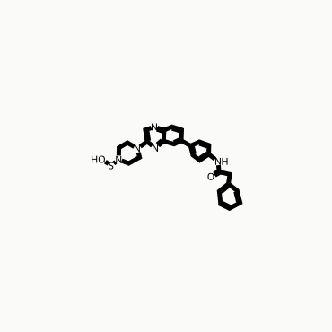 O=C(Cc1ccccc1)Nc1ccc(-c2ccc3ncc(N4CCN(SO)CC4)nc3c2)cc1